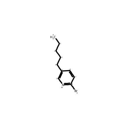 CCCCCc1ccc(Br)nc1